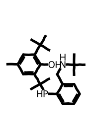 Cc1cc(C(C)(C)C)c(O)c(C(C)(C)Pc2ccccc2CNC(C)(C)C)c1